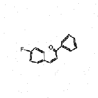 O=C(/C=C\c1ccc(F)cc1)c1ccccc1